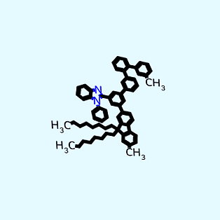 CCCCCCCCC1(CCCCCCCC)c2cc(C)ccc2-c2ccc(-c3cc(-c4cccc(-c5ccccc5-c5cccc(C)c5)c4)cc(-c4nc5ccccc5n4-c4ccccc4)c3)cc21